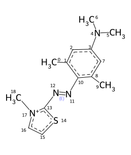 Cc1cc(N(C)C)cc(C)c1/N=N/c1scc[n+]1C